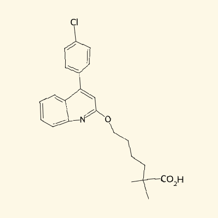 CC(C)(CCCCOc1cc(-c2ccc(Cl)cc2)c2ccccc2n1)C(=O)O